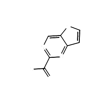 NC(=O)c1ncc2occc2n1